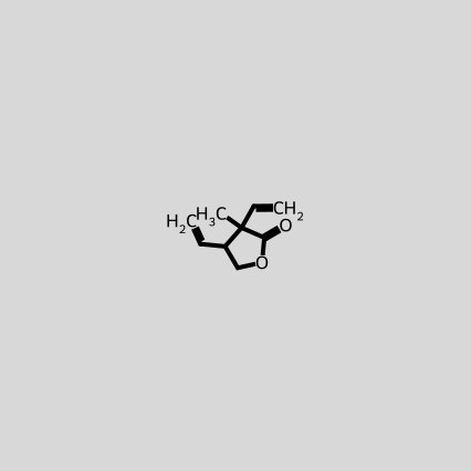 C=CC1COC(=O)C1(C)C=C